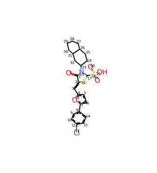 O=C1/C(=C/c2ccc(-c3ccc(Cl)cc3)o2)SC(S(=O)(=O)O)N1C1CCC2CCCCC2C1